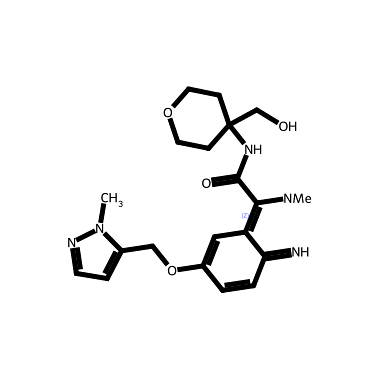 CN/C(C(=O)NC1(CO)CCOCC1)=C1/C=C(OCc2ccnn2C)C=CC1=N